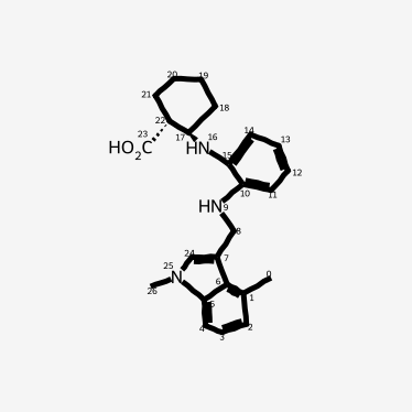 Cc1cccc2c1c(CNc1ccccc1N[C@@H]1CCCC[C@H]1C(=O)O)cn2C